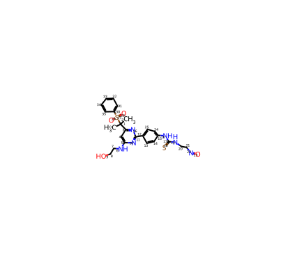 CC(C)(c1cc(NCCO)nc(-c2ccc(NC(=S)NCCN=O)cc2)n1)S(=O)(=O)c1ccccc1